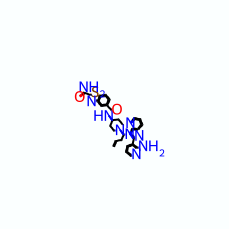 C=CCC(N1CCC(NC(=O)c2ccc3sc(C(N)=O)nc3c2)CC1)n1c(-c2cccnc2N)nc2cccnc21